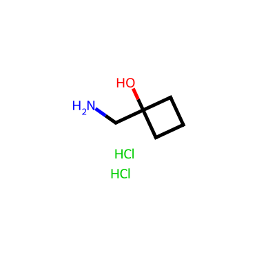 Cl.Cl.NCC1(O)CCC1